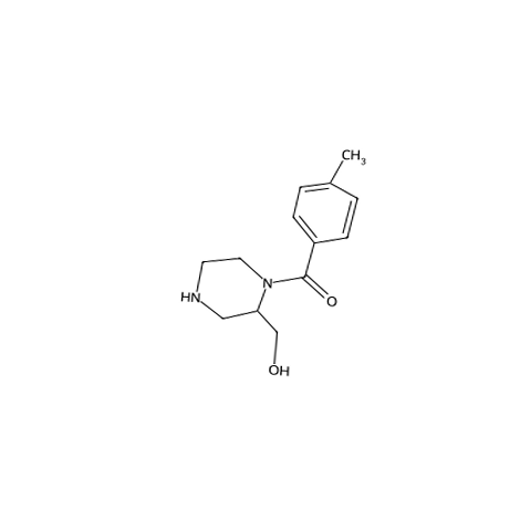 Cc1ccc(C(=O)N2CCNCC2CO)cc1